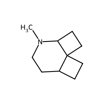 CN1CCC2CCC23CCC13